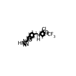 FC(F)(F)Oc1ccc(NCc2ccc3cc(-c4nn[nH]n4)oc3c2)cc1Cl